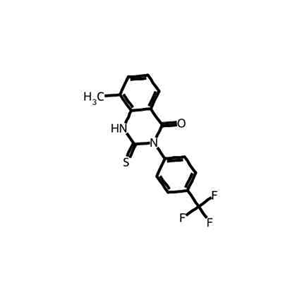 Cc1cccc2c(=O)n(-c3ccc(C(F)(F)F)cc3)c(=S)[nH]c12